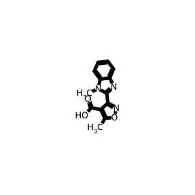 Cc1onc(-c2nc3ccccc3n2C)c1C(=O)O